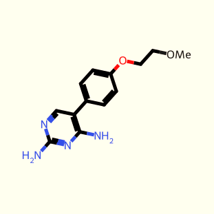 COCCOc1ccc(-c2cnc(N)nc2N)cc1